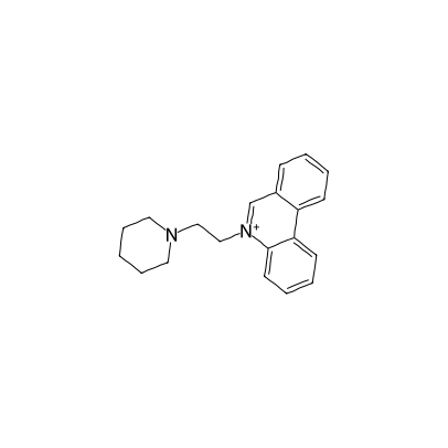 c1ccc2c(c1)c[n+](CCN1CCCCC1)c1ccccc21